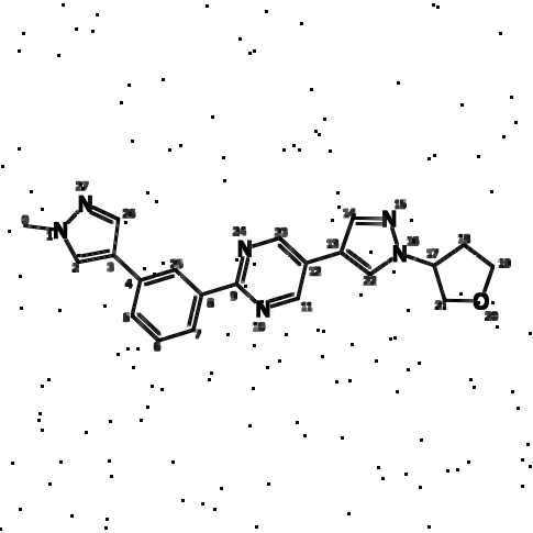 Cn1cc(-c2cccc(-c3ncc(-c4cnn(C5CCOC5)c4)cn3)c2)cn1